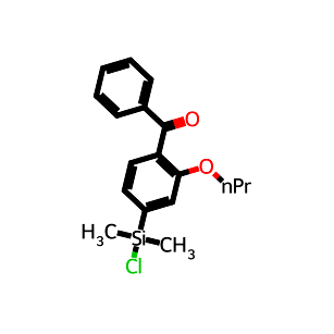 CCCOc1cc([Si](C)(C)Cl)ccc1C(=O)c1ccccc1